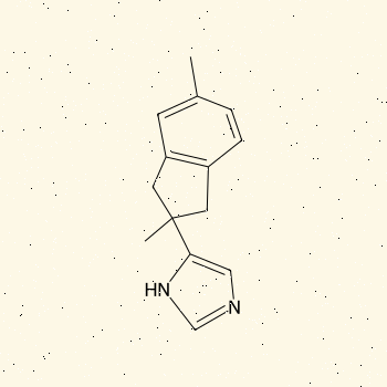 Cc1ccc2c(c1)CC(C)(c1cnc[nH]1)C2